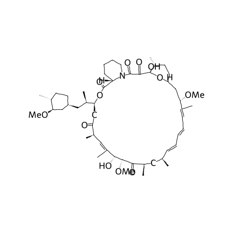 CO[C@H]1C[C@@H]2CC[C@@H](C)[C@@](O)(O2)C(=O)C(=O)N2CCCC[C@H]2C(=O)O[C@H]([C@H](C)C[C@@H]2CC[C@@H](C)[C@H](OC)C2)CC(=O)[C@H](C)/C=C(\C)[C@@H](O)[C@@H](OC)C(=O)[C@H](C)C[C@H](C)/C=C/C=C/C=C/1C